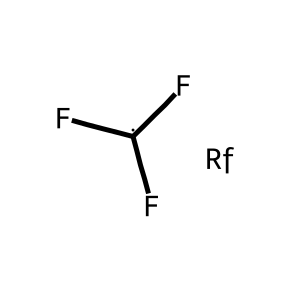 F[C](F)F.[Rf]